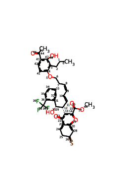 CCCc1c(OCC/C=C\C=C\[C@H](c2c(C(=O)OC)oc3c(c2=O)=CCC(=S)C=3)[C@H](O)c2ccccc2C(F)(F)F)ccc(C(C)=O)c1O